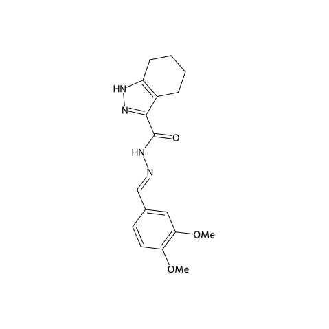 COc1ccc(/C=N/NC(=O)c2n[nH]c3c2CCCC3)cc1OC